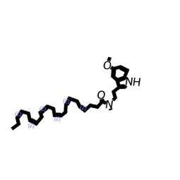 CC/C=C\C/C=C\C/C=C\C/C=C\C/C=C\C/C=C\CCC(=O)N(C)CCc1c[nH]c2ccc(OC)cc12